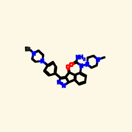 CCN1CCN(c2ccc(C3=C4C(=O)c5c(cccc5N(C(N)=O)N5CCN(C)CC5)C4N=N3)cc2)CC1